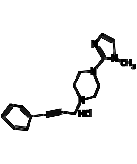 Cl.Cn1ccnc1N1CCN(CC#Cc2ccccc2)CC1